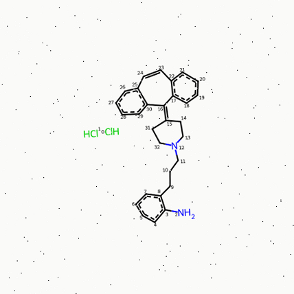 Cl.Cl.Nc1ccccc1CCCN1CCC(=C2c3ccccc3C=Cc3ccccc32)CC1